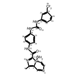 CC1=C2C=NC=C[N+]2(N)C(C(=O)Nc2ccc(NC(=O)Nc3cccc(C(F)(F)F)c3)cc2)=N1